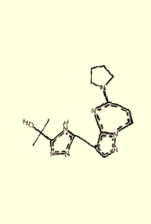 CC(C)(O)c1nnc(-c2cnn3ccc(N4CCCC4)nc23)[nH]1